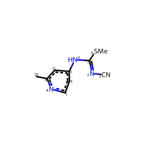 CSC(=NC#N)Nc1ccnc(C)c1